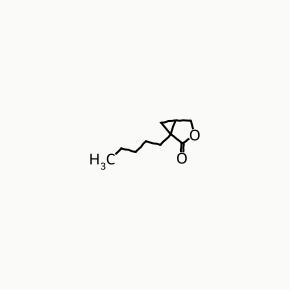 CCCCCC12CC1COC2=O